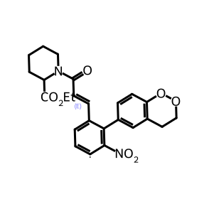 CCOC(=O)C1CCCCN1C(=O)/C=C/c1cc[c]c([N+](=O)[O-])c1-c1ccc2c(c1)CCOO2